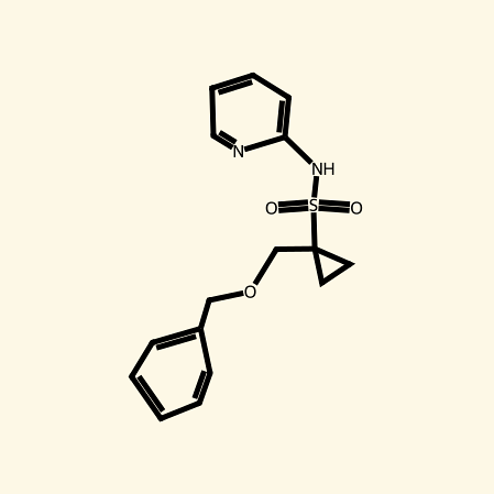 O=S(=O)(Nc1ccccn1)C1(COCc2ccccc2)CC1